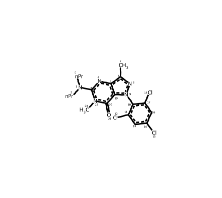 CCCN(CCC)c1nc2c(C)nn(-c3c(Cl)cc(Cl)cc3Cl)c2c(=O)n1C